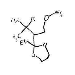 CCC(C)(C)C(CON)C1(CC)OCCO1